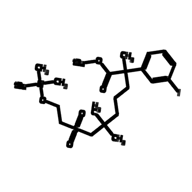 CC(C)(CCCC(C)(C(=O)OC(C)(C)C)c1cccc(I)c1)CS(=O)(=O)CCO[Si](C)(C)C(C)(C)C